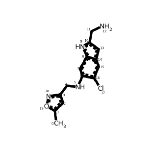 Cc1cc(CNc2cc3[nH]c(CN)cc3cc2Cl)no1